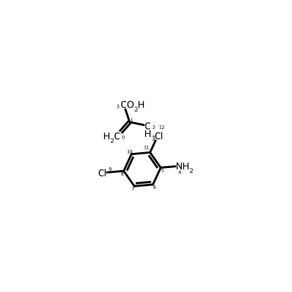 C=C(C)C(=O)O.Nc1ccc(Cl)cc1Cl